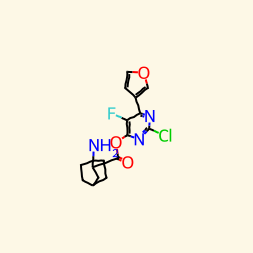 NC12CCC(CC1)CC2C(=O)Oc1nc(Cl)nc(-c2ccoc2)c1F